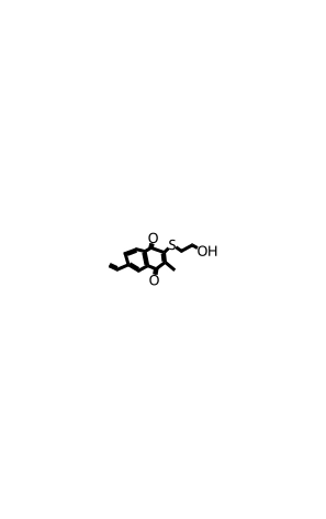 C=Cc1ccc2c(c1)C(=O)C(C)=C(SCCO)C2=O